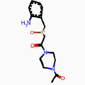 CC(=O)N1CCN(C(=O)C[S+]([O-])Cc2ccccc2N)CC1